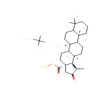 CC(=O)NC(C)(C)C(F)(F)F.CC(C)C1=C2[C@H]3CC[C@@H]4[C@@]5(C)CCCC(C)(C)[C@@H]5CC[C@@]4(C)[C@]3(C)CC[C@@]2(C(=O)OO)CC1=O